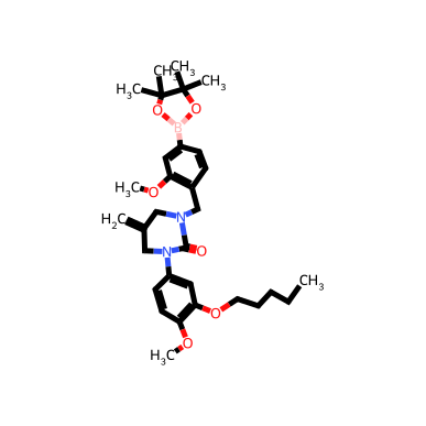 C=C1CN(Cc2ccc(B3OC(C)(C)C(C)(C)O3)cc2OC)C(=O)N(c2ccc(OC)c(OCCCCC)c2)C1